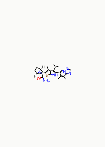 Cc1c(-c2[nH]c3sc(C4C[C@H]5CC[C@@H]4N5CC(N)=O)c(C)c3c2C(C)C)cn2ncnc2c1C